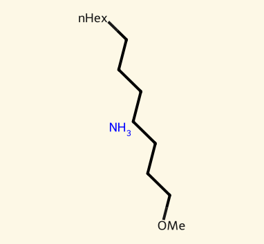 CCCCCCCCCCCCCOC.N